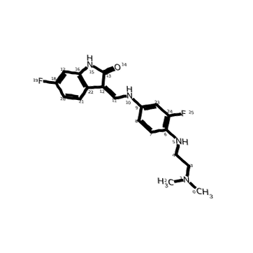 CN(C)CCNc1ccc(NC=C2C(=O)Nc3cc(F)ccc32)cc1F